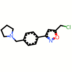 ClCc1cc(-c2ccc(CN3CCCC3)cc2)no1